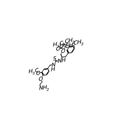 COc1cc(CNC(=S)NC(COC(=O)C(C)(C)C)Cc2ccc(C)c(C)c2)ccc1OCCN